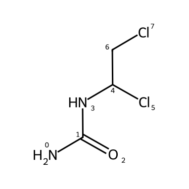 NC(=O)NC(Cl)CCl